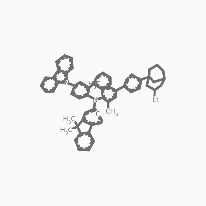 CCC1CC2CCCC(c3ccc(-c4cc(C)c(N(c5ccc6c(c5)C(C)(C)c5ccccc5-6)c5ccc(-n6c7ccccc7c7ccccc76)cc5-c5ccccc5)c(C)c4)cc3)(C1)C2